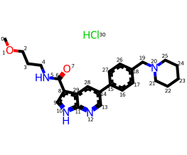 COCCCNC(=O)c1c[nH]c2ncc(-c3ccc(CN4CCCCC4)cc3)cc12.Cl